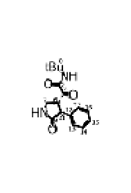 CC(C)(C)NC(=O)C(=O)[C@H]1CNC(=O)[C@@H]1c1ccccc1